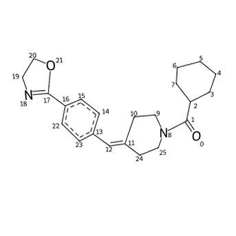 O=C(C1CCCCC1)N1CCC(=Cc2ccc(C3=NCCO3)cc2)CC1